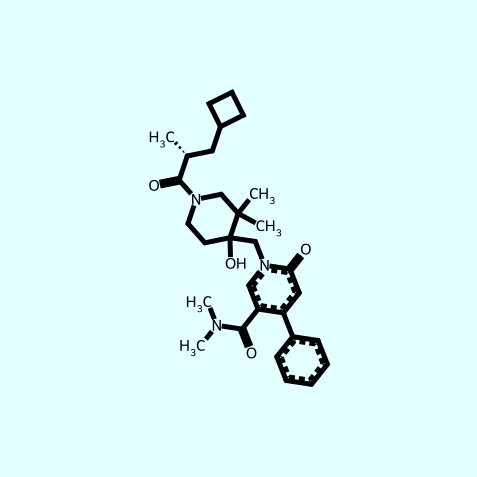 C[C@H](CC1CCC1)C(=O)N1CCC(O)(Cn2cc(C(=O)N(C)C)c(-c3ccccc3)cc2=O)C(C)(C)C1